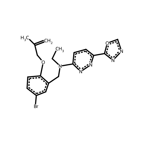 C=C(C)COc1ccc(Br)cc1CN(CC)c1ccc(-c2nnco2)nn1